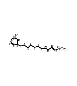 C=CC(CCCCCCCCC/C=C/CCCCCCCC)CN(C)C